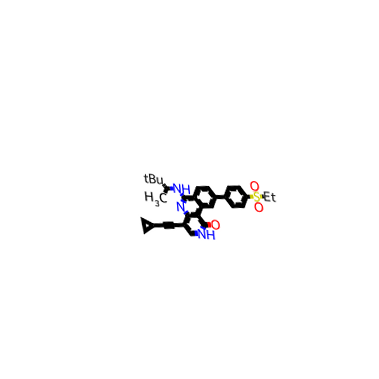 CCS(=O)(=O)c1ccc(-c2ccc3c(NC(C)C(C)(C)C)nc4c(C#CC5CC5)c[nH]c(=O)c4c3c2)cc1